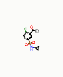 CCC(=O)c1cc(S(=O)(=O)NC2CC2)ccc1Cl